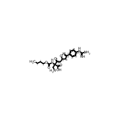 CCCCOC(=O)NC(CN)(C(=O)O)C(=O)CC1CC(c2ccc(NC(=N)N)cc2)=NO1